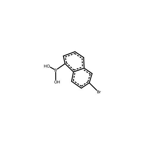 OB(O)c1cccc2cc(Br)ccc12